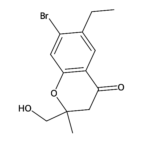 CCc1cc2c(cc1Br)OC(C)(CO)CC2=O